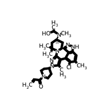 C=CC(=O)N1CCC(n2nc(N3CC[C@H](N(C)C(C)O)CC3(C)C)c(-c3c(Cl)c(C)cc4[nH]ncc34)c2C)CC1